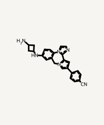 N#Cc1ccc(-c2cc3n(c2)Cc2cc(NC4CC(N)C4)ccc2-n2ccnc2-3)cc1